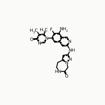 Cc1c(C)n(-c2cc3cc(Nc4cc5n(n4)CC(=O)NCC5)ncc3c(N)c2F)cnc1=O